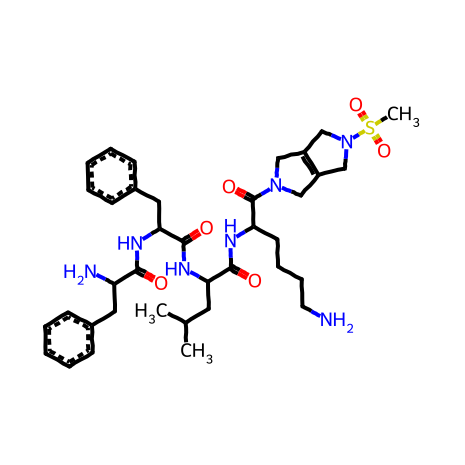 CC(C)CC(NC(=O)C(Cc1ccccc1)NC(=O)C(N)Cc1ccccc1)C(=O)NC(CCCCN)C(=O)N1CC2=C(C1)CN(S(C)(=O)=O)C2